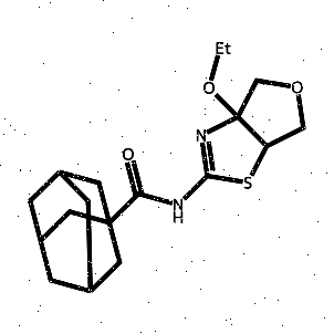 CCOC12COCC1SC(NC(=O)C13CC4CC(CC(C4)C1)C3)=N2